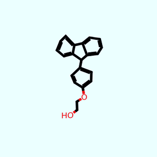 OCCOc1ccc(C2c3ccccc3-c3ccccc32)cc1